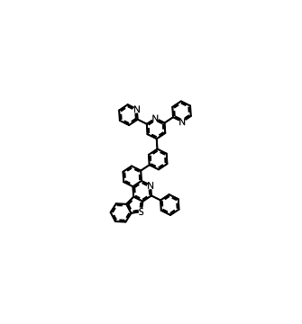 c1ccc(-c2nc3c(-c4cccc(-c5cc(-c6ccccn6)nc(-c6ccccn6)c5)c4)cccc3c3c2sc2ccccc23)cc1